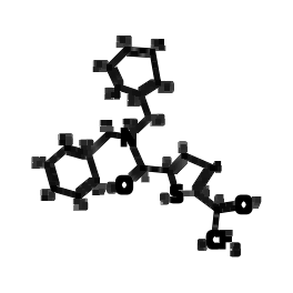 O=C(c1ccc(C(=O)C(F)(F)F)s1)N(Cc1ccccc1)Cc1ccccc1